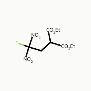 CCOC(=O)C(CC(F)([N+](=O)[O-])[N+](=O)[O-])C(=O)OCC